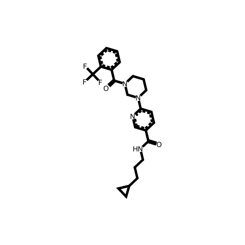 O=C(NCCCC1CC1)c1ccc(N2CCCN(C(=O)c3ccccc3C(F)(F)F)C2)nc1